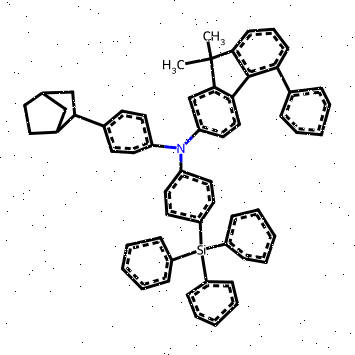 CC1(C)c2cc(N(c3ccc(C4CC5CCC4C5)cc3)c3ccc([Si](c4ccccc4)(c4ccccc4)c4ccccc4)cc3)ccc2-c2c(-c3ccccc3)cccc21